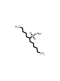 CCCCCCC(CCCCC)S(=O)(=O)[O-].[Na+]